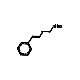 CCCCCCC[CH]C=Cc1ccccc1